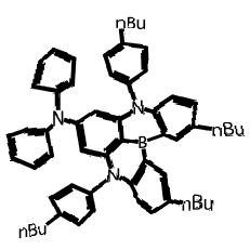 CCCCc1ccc(N2c3ccc(CCCC)cc3B3c4cc(CCCC)ccc4N(c4ccc(CCCC)cc4)c4cc(N(c5ccccc5)c5ccccc5)cc2c43)cc1